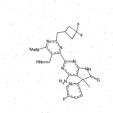 CNc1nc(CC2CC(F)(F)C2)nc(-c2nc(N)c3c(n2)NC(=O)C3(C)c2ccc(F)cn2)c1C=N